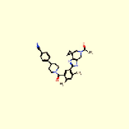 CC(=O)N1Cc2[nH]c(-c3cc(C(=O)N4CCC(c5ccc(C#N)cc5)CC4)c(C)cc3C)nc2C2(CC2)C1